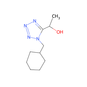 CC(O)c1nnnn1CC1CCCCC1